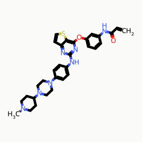 C=CC(=O)Nc1cccc(Oc2nc(Nc3ccc(N4CCN(C5CCN(C)CC5)CC4)cc3)nc3ccsc23)c1